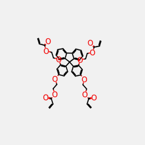 C=CC(=O)OCCOc1ccc(C2(c3ccc(OCCOC(=O)C=C)cc3OCCOC(=O)C=C)c3ccccc3-c3ccccc32)c(OCCOC(=O)C=C)c1